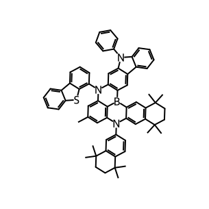 Cc1cc2c3c(c1)N(c1cccc4c1sc1ccccc14)c1cc4c(cc1B3c1cc3c(cc1N2c1ccc2c(c1)C(C)(C)CCC2(C)C)C(C)(C)CCC3(C)C)c1ccccc1n4-c1ccccc1